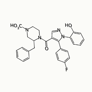 O=C(O)N1CCN(C(=O)c2cnn(-c3ccccc3O)c2-c2ccc(F)cc2)C(Cc2ccccc2)C1